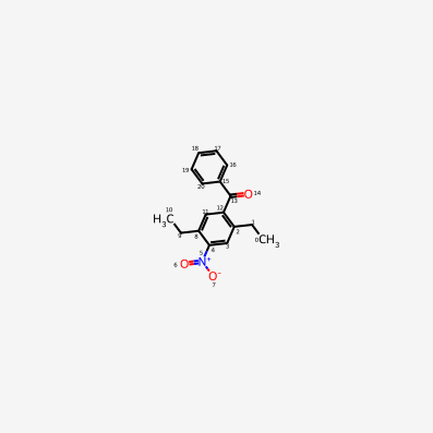 CCc1cc([N+](=O)[O-])c(CC)cc1C(=O)c1ccccc1